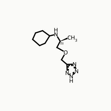 C[C@@H](COCc1nn[nH]n1)NC1CCCCC1